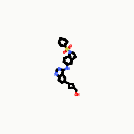 O=S(=O)(c1ccccc1)n1ccc2cc(Nc3ncnc4ccc(C5CC(CO)C5)cc34)ccc21